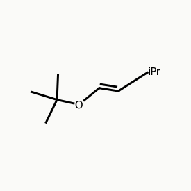 CC(C)C=COC(C)(C)C